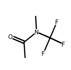 CC(=O)N(C)C(F)(F)F